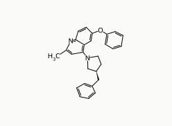 Cc1cc(N2CC[C@@H](Cc3ccccc3)C2)c2cc(Oc3ccccc3)ccc2n1